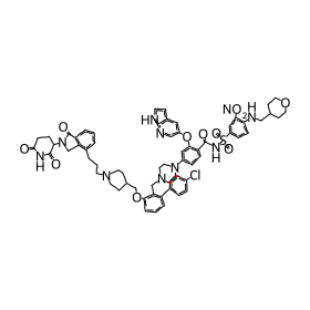 O=C1CCC(N2Cc3c(CCCN4CCC(COc5cccc(-c6ccc(Cl)cc6)c5CN5CCN(c6ccc(C(=O)NS(=O)(=O)c7ccc(NCC8CCOCC8)c([N+](=O)[O-])c7)c(Oc7cnc8[nH]ccc8c7)c6)CC5)CC4)cccc3C2=O)C(=O)N1